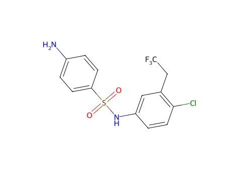 Nc1ccc(S(=O)(=O)Nc2ccc(Cl)c(CC(F)(F)F)c2)cc1